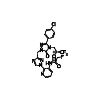 O=C(CF)Nc1cccnc1-n1cnc(Cn2nc(-c3ccc(Cl)cc3)n(C[C@H](O)C(F)(F)F)c2=O)n1